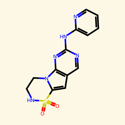 O=S1(=O)NCCn2c1cc1cnc(Nc3ccccn3)nc12